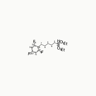 CCO[SiH](CCCCCc1c(F)cc(F)cc1F)OCC